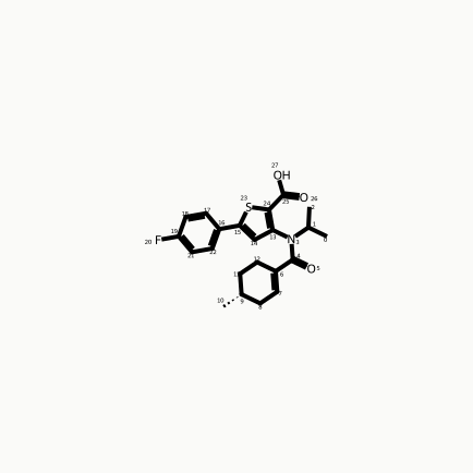 CC(C)N(C(=O)C1=CC[C@H](C)CC1)c1cc(-c2ccc(F)cc2)sc1C(=O)O